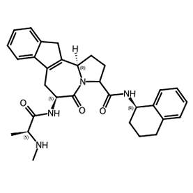 CN[C@@H](C)C(=O)N[C@H]1CC2=C(Cc3ccccc32)[C@H]2CCC(C(=O)N[C@@H]3CCCc4ccccc43)N2C1=O